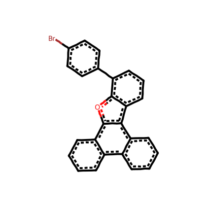 Brc1ccc(-c2cccc3c2oc2c4ccccc4c4ccccc4c32)cc1